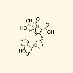 C[C@H](O)[C@@H]1C(=O)N2C(C(=O)O)=C(SC3CCN(C(C=O)c4ccccc4O)C3)S[C@H]12